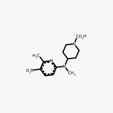 Cc1nc(N(C)C2CCN(C(=O)O)CC2)ccc1[N+](=O)[O-]